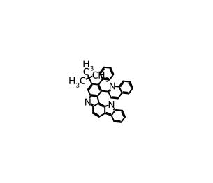 CC(C)(C)c1cc2c(c(-c3ccc4ccccc4n3)c1-c1ccccc1)-c1c3c(ccc1=N2)=c1ccccc1=N3